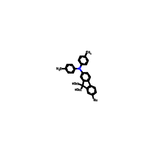 CCCCCCCCC1(CCCCCCCC)c2cc(C(C)CC)ccc2-c2ccc(N(c3ccc(C)cc3)c3ccc(C)cc3)cc21